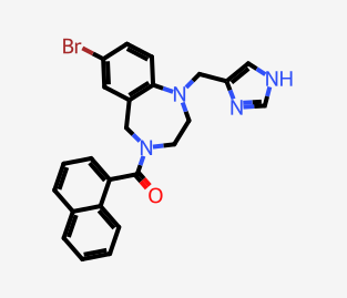 O=C(c1cccc2ccccc12)N1CCN(Cc2c[nH]cn2)c2ccc(Br)cc2C1